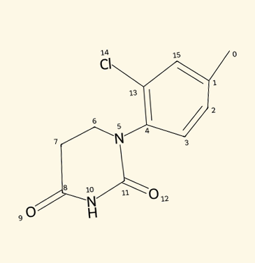 Cc1ccc(N2CCC(=O)NC2=O)c(Cl)c1